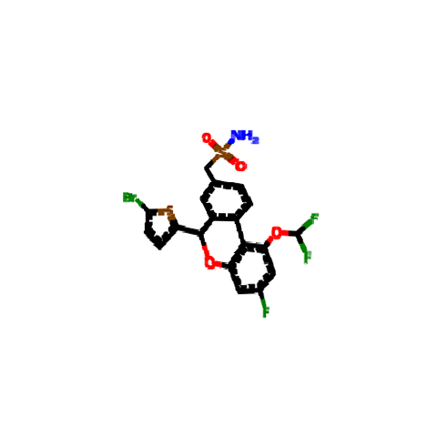 NS(=O)(=O)Cc1ccc2c(c1)C(c1ccc(Br)s1)Oc1cc(F)cc(OC(F)F)c1-2